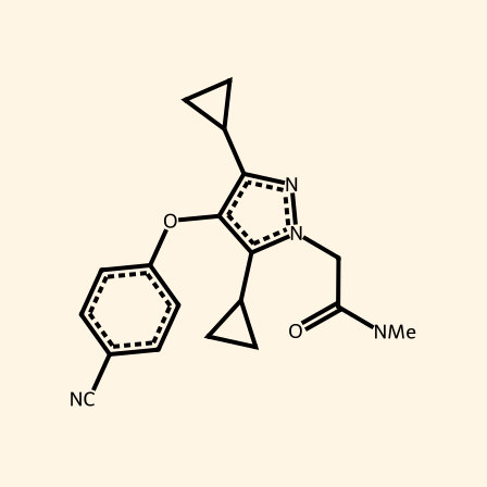 CNC(=O)Cn1nc(C2CC2)c(Oc2ccc(C#N)cc2)c1C1CC1